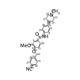 COc1cc(C(=O)Nc2ccc(N3CCN(C)CC3)cc2)ccc1OCc1ccc(C#N)cc1